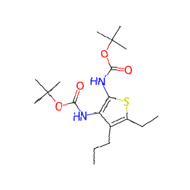 CCCc1c(CC)sc(NC(=O)OC(C)(C)C)c1NC(=O)OC(C)(C)C